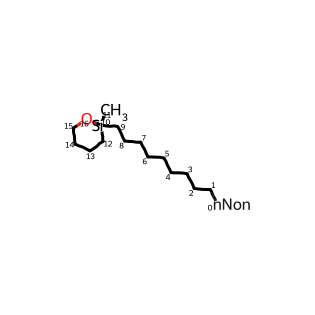 CCCCCCCCCCCCCCCCCC[Si]1(C)CCCCO1